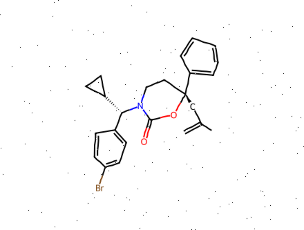 C=C(C)C[C@]1(c2ccccc2)CCN([C@H](c2ccc(Br)cc2)C2CC2)C(=O)O1